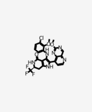 COc1ncc2nccc(-c3[nH]c4c(c3Nc3cccc(Cl)c3OC)C(=O)N[C@H](C(F)(F)F)C4)c2n1